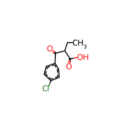 CCC(C(=O)O)C(=O)c1ccc(Cl)cc1